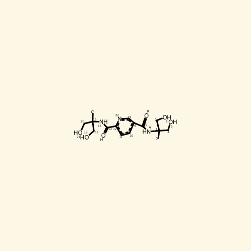 CC(CO)(CO)NC(=O)c1ccc(C(=O)NC(C)(CO)CO)nc1